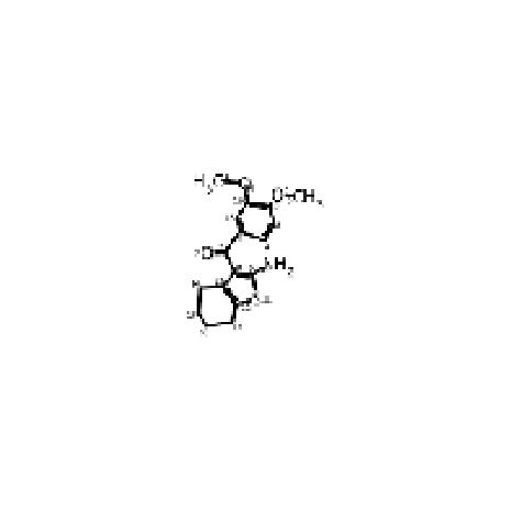 COc1ccc(C(=O)c2c(N)sc3c2CCCC3)cc1OC